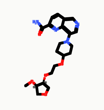 CO[C@@H]1COC[C@H]1OCCOC1CCN(c2cncc3ccc(C(N)=O)nc23)CC1